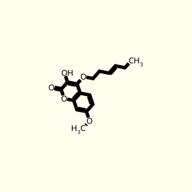 CCC=CCCOc1c(O)c(=O)oc2cc(OC)ccc12